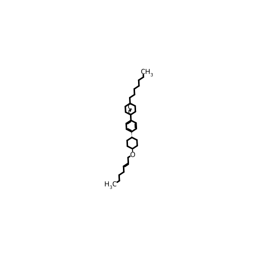 CCCC/C=C/CO[C@H]1CC[C@H](c2ccc(C34CCC(CCCCCCC)(CC3)CC4)cc2)CC1